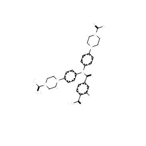 N=C(N)N1CCN(c2ccc(N(C(=O)c3ccc(C(N)=O)c(Cl)c3)c3ccc(N4CCN(C(=N)N)CC4)cc3)cc2)CC1